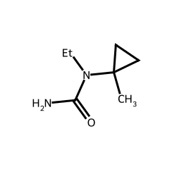 CCN(C(N)=O)C1(C)CC1